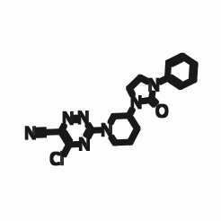 N#Cc1nnc(N2CCCC(N3CCN(c4ccccc4)C3=O)C2)nc1Cl